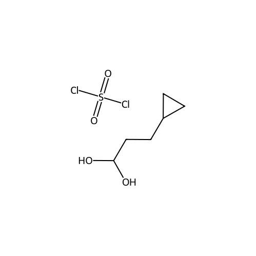 O=S(=O)(Cl)Cl.OC(O)CCC1CC1